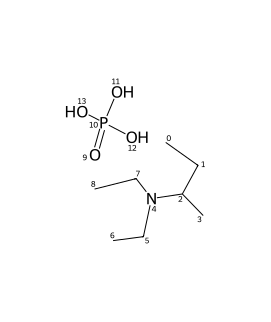 CCC(C)N(CC)CC.O=P(O)(O)O